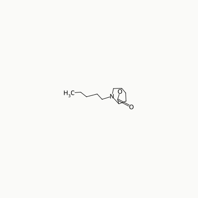 CCCCCN1CC2CCC1C(=O)O2